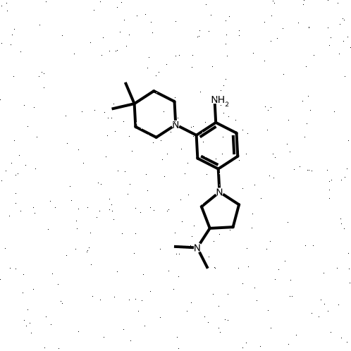 CN(C)C1CCN(c2ccc(N)c(N3CCC(C)(C)CC3)c2)C1